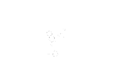 Cc1ccc2nc(N3CC[S+]([O-])c4ccccc4C3)nc(N3C[C@@H](N)[C@H](F)C3)c2c1